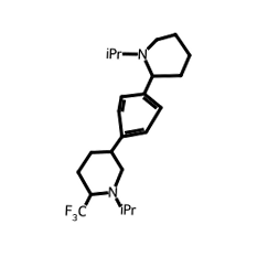 CC(C)N1CCCCC1c1ccc(C2CCC(C(F)(F)F)N(C(C)C)C2)cc1